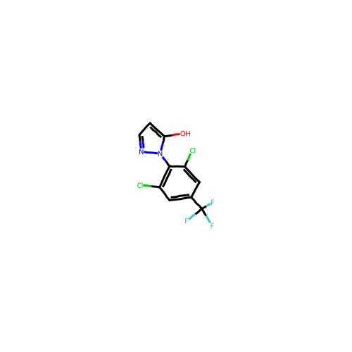 Oc1ccnn1-c1c(Cl)cc(C(F)(F)F)cc1Cl